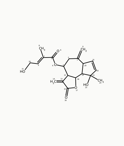 C=C1CC(OC(=O)C(C)=CCO)C2C(=C)C(=O)OC2C2C1C=CC2(C)O